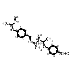 CC(Oc1ccc(/C=N/N(C)[PH](=S)C(C)Oc2ccc(C=O)cc2)cc1)P=S